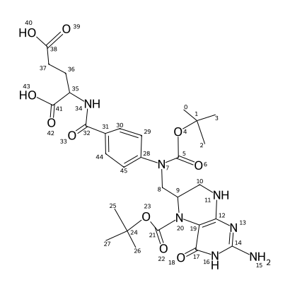 CC(C)(C)OC(=O)N(CC1CNc2nc(N)[nH]c(=O)c2N1C(=O)OC(C)(C)C)c1ccc(C(=O)NC(CCC(=O)O)C(=O)O)cc1